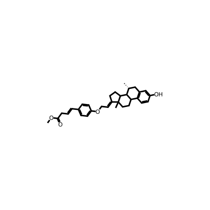 COC(=O)C/C=C/c1ccc(OC/C=C2\CCC3C4C(CCC23C)c2ccc(O)cc2C[C@H]4C)cc1